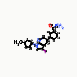 Cc1ccc(-n2cc(I)c3cc(-c4cccc(C(N)=O)c4)cnc32)cc1